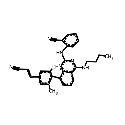 CCCCNc1nc(Nc2ccccc2C#N)nc2c(-c3c(C)cc(C=CC#N)cc3C)cccc12